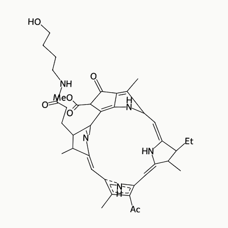 CCC1C2=CC3NC4=C(C5=NC(=Cc6[nH]c(c(C(C)=O)c6C)C=C(N2)C1C)C(C)C5CCC(=O)NCCCCO)C(C(=O)OC)C(=O)C4=C3C